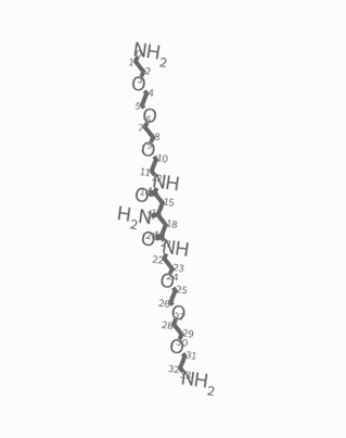 NCCOCCOCCOCCNC(=O)CC(N)CC(=O)NCCOCCOCCOCCN